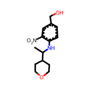 CC(Nc1ccc(CO)cc1[N+](=O)[O-])C1CCOCC1